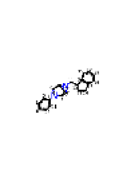 c1ccc(N2CC3CC2CN3CC2CCc3ccccc32)cc1